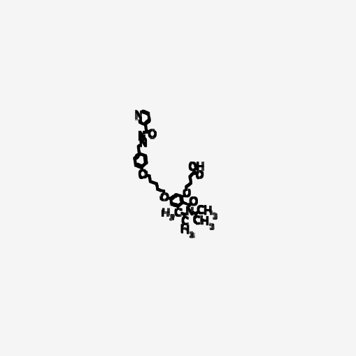 CC(C)N(C(=O)c1ccc(OCCCCCOc2ccc(CN=NC(=O)c3cccnc3)cc2)cc1OCCCC(=O)O)C(C)C